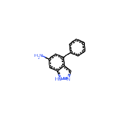 Nc1cc(-c2ccccc2)c2cn[nH]c2c1